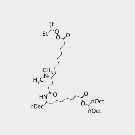 CCCCCCCCCCC(CCCCC=CC(=O)OC(CCCCCCCC)CCCCCCCC)NC(=O)CCC(CCCCCCCC(=O)OOC(CC)CC)N(C)C